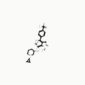 Cn1ncc2c(-c3ccc(C(F)(F)F)cc3)nnc(N[C@@H]3CCCN(C4CC4)C3)c21